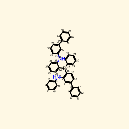 c1ccc(Nc2cc(-c3ccccc3)ccc2B(c2ccccc2)c2ccccc2Nc2cccc(-c3ccccc3)c2)cc1